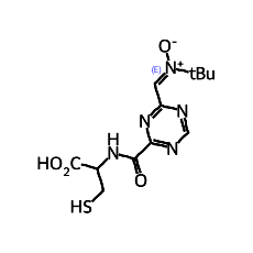 CC(C)(C)/[N+]([O-])=C\c1ncnc(C(=O)NC(CS)C(=O)O)n1